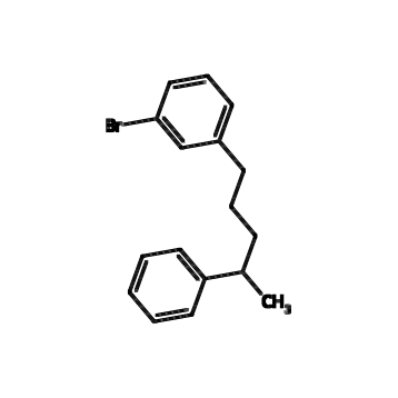 CC(CCCc1cccc(Br)c1)c1ccccc1